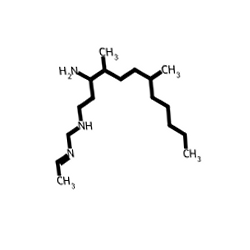 CC=NCNCCC(N)C(C)CCC(C)CCCCC